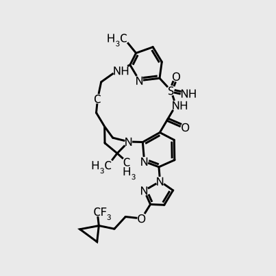 Cc1ccc2nc1NCCCC1CN(c3nc(-n4ccc(OCCC5(C(F)(F)F)CC5)n4)ccc3C(=O)NS2(=N)=O)C(C)(C)C1